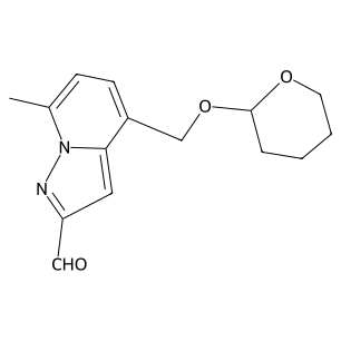 Cc1ccc(COC2CCCCO2)c2cc(C=O)nn12